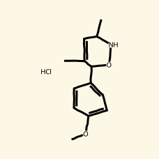 COc1ccc(C2ONC(C)C=C2C)cc1.Cl